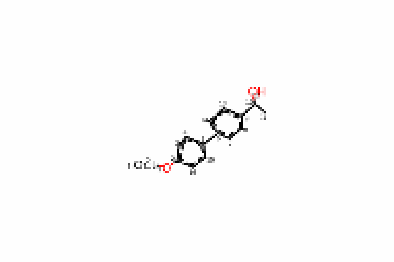 CCCCCCCCOc1ccc(-c2ccc(C(C)O)cc2)cc1